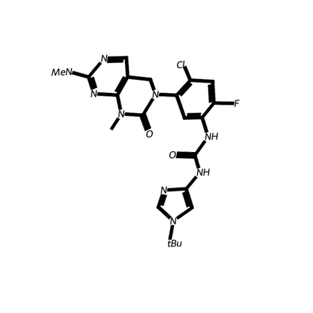 CNc1ncc2c(n1)N(C)C(=O)N(c1cc(NC(=O)Nc3cn(C(C)(C)C)cn3)c(F)cc1Cl)C2